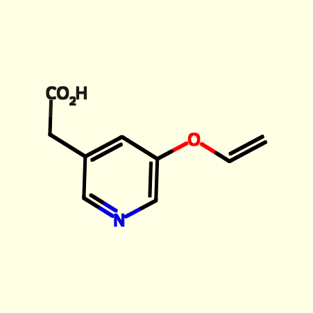 C=COc1cncc(CC(=O)O)c1